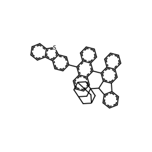 c1ccc2c(c1)-c1cc3ccccc3c(-c3c4ccccc4c(-c4ccc5c(c4)sc4ccccc45)c4ccccc34)c1C2C12CC3CC(CC(C3)C1)C2